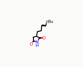 CCCCC=CCCC1CC(=O)NC1=O